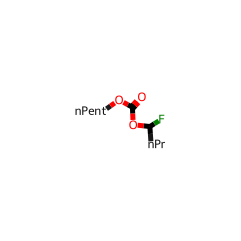 CCCCCOC(=O)OC(F)CCC